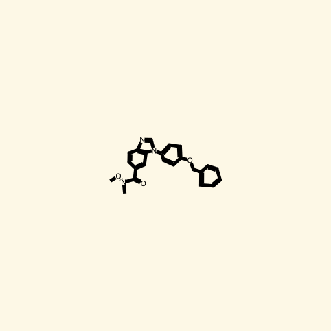 CON(C)C(=O)c1ccc2ncn(-c3ccc(OCc4ccccc4)cc3)c2c1